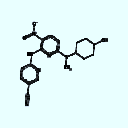 CN(c1ccc([N+](=O)[O-])c(Nc2ccc(C#N)cn2)n1)C1CCC(O)CC1